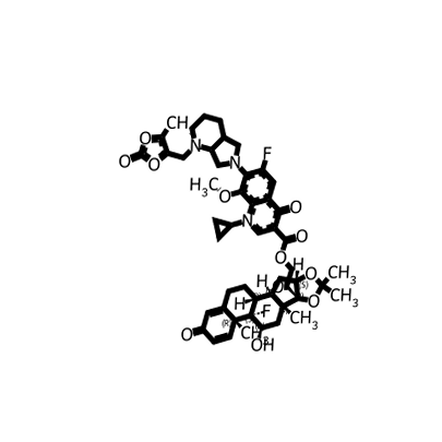 COc1c(N2CC3CCCN(Cc4oc(=O)oc4C)C3C2)c(F)cc2c(=O)c(C(=O)OCC(=O)[C@]34OC(C)(C)O[C@H]3C[C@@H]3[C@H]5CCC6=CC(=O)C=C[C@@]6(C)[C@]5(F)[C@H](O)C[C@]34C)cn(C3CC3)c12